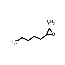 CCCCCC1O[C@H]1C